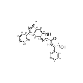 O=C(N[C@H](CO)c1ccccc1)c1nc2cc3c(-c4ccncc4)nn(I)c3cc2[nH]1